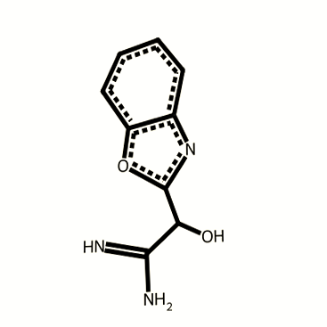 N=C(N)C(O)c1nc2ccccc2o1